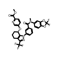 COC(=O)c1ccc(O[C@@H]2CCCc3c(C(F)(F)F)nn(-c4cccc(C(=O)N(C)c5ccc6c(c5)OC(F)(F)O6)c4)c32)cn1